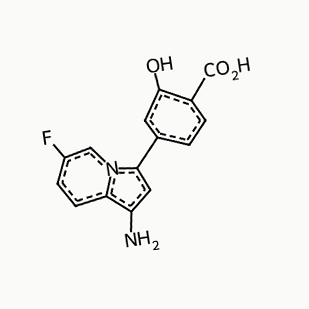 Nc1cc(-c2ccc(C(=O)O)c(O)c2)n2cc(F)ccc12